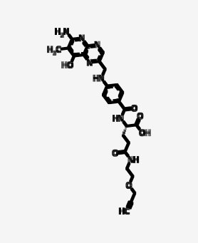 C#CCOCCNC(=O)CC[C@H](NC(=O)c1ccc(NCc2cnc3nc(N)c(C)c(O)c3n2)cc1)C(=O)O